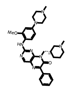 COc1cc(N2CCN(C)CC2)ccc1Nc1ncc2nc(-c3ccccc3)c(=O)n(C[C@H]3CCCN(C)C3)c2n1